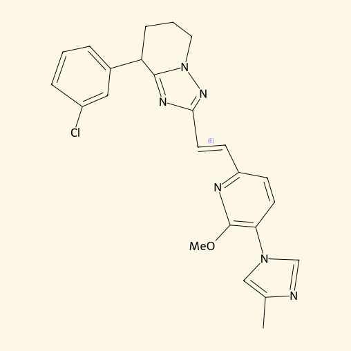 COc1nc(/C=C/c2nc3n(n2)CCCC3c2cccc(Cl)c2)ccc1-n1cnc(C)c1